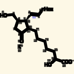 CCCCCC/C=C/[C@H]1[C@H](CO)CC(=O)[C@@H]1CCCCCC(O)C(=O)[O-].[K+]